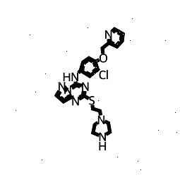 Clc1cc(Nc2nc(SCCN3CCNCC3)nc3ccnn23)ccc1OCc1ccccn1